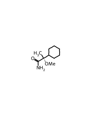 CO[C@@](C)(C(N)=O)C1CCCCC1